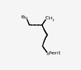 CCCCCCCC(C)[CH]C(C)CC